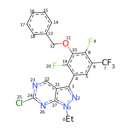 CCn1nc(-c2cc(C(F)(F)F)c(F)c(OCc3ccccc3)c2F)c2cnc(Cl)nc21